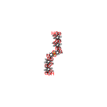 COc1ccc(S(=O)(=O)c2ccc(OC)c(C(=O)Oc3c(C)c(C)c(C(=O)Oc4c(C)c(C)c(C(=O)O)c(OC)c4C)c(OC)c3C)c2)cc1C(=O)Oc1c(C)c(C)c(C(=O)Oc2c(C)c(C)c(C(=O)O)c(OC)c2C)c(OC)c1C